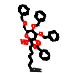 CCCCCCCCCCCCCCCC(=O)[C@]1(O)O[C@H](COCc2ccccc2)[C@@H](OCc2ccccc2)[C@H](OCc2ccccc2)[C@H]1OCc1ccccc1